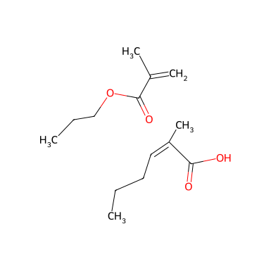 C=C(C)C(=O)OCCC.CCCC=C(C)C(=O)O